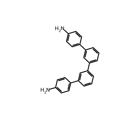 Nc1ccc(-c2cccc(-c3cccc(-c4ccc(N)cc4)c3)c2)cc1